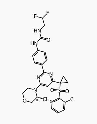 C[C@H]1COCCN1c1cc(C2(S(=O)(=O)c3ccccc3Cl)CC2)nc(-c2ccc(NC(=O)NCC(F)F)cc2)n1